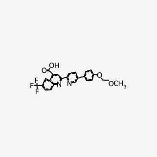 COCCOc1ccc(-c2ccc(-c3cc(C(=O)O)c4cc(C(F)(F)F)ccc4n3)nc2)cc1